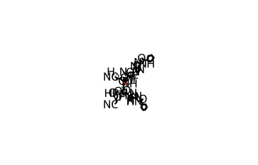 N#CCCO[PH](=O)O[C@H]1[C@@H](F)[C@H](n2cnc3c(NC(=O)c4ccccc4)ncnc32)O[C@@H]1CNP(=O)(OCCC#N)O[C@H]1[C@@H](F)[C@H](n2cnc3c(NC(=O)c4ccccc4)ncnc32)O[C@@H]1CN